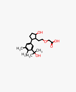 Cc1cc(C2CCC(O)C2CCOCC(=O)O)cc(C(C)(C)O)c1C